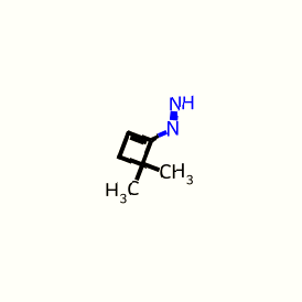 CC1(C)CC=C1N=N